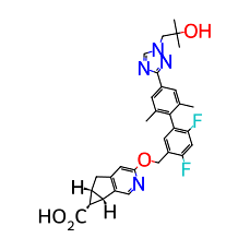 Cc1cc(-c2ncn(CC(C)(C)O)n2)cc(C)c1-c1cc(COc2cc3c(cn2)[C@H]2[C@@H](C3)[C@@H]2C(=O)O)c(F)cc1F